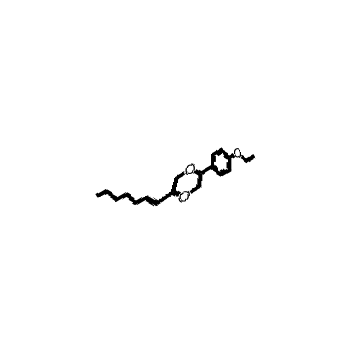 CCCCCCCC1COC(c2ccc(OCC)cc2)CO1